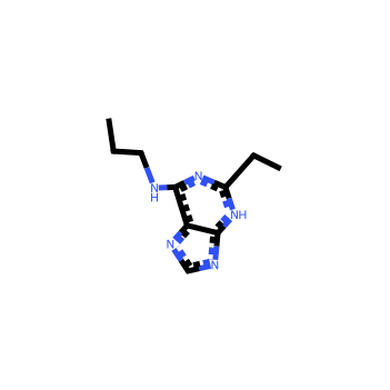 CCCNc1nc(CC)[nH]c2ncnc1-2